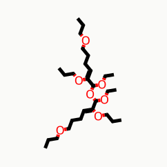 CCCOCCCC=C(OCCC)C(OCC)OC(OCC)C(=CCCCOCCC)OCCC